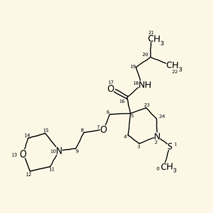 CSN1CCC(COCCN2CCOCC2)(C(=O)NCC(C)C)CC1